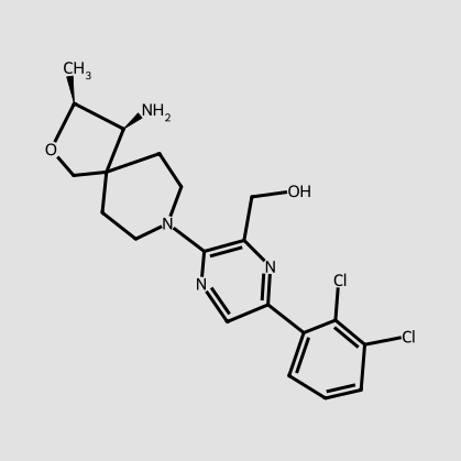 C[C@@H]1OCC2(CCN(c3ncc(-c4cccc(Cl)c4Cl)nc3CO)CC2)[C@@H]1N